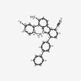 Cc1ccc2c(oc3c(-c4ccc(-c5ccccc5)cc4)ccc(C#N)c32)c1-c1cc(F)nc[n+]1C